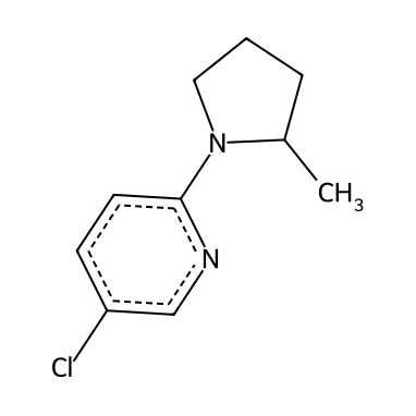 CC1CCCN1c1ccc(Cl)cn1